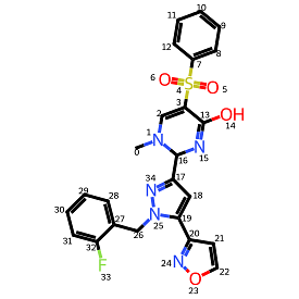 CN1C=C(S(=O)(=O)c2ccccc2)C(O)=NC1c1cc(-c2ccon2)n(Cc2ccccc2F)n1